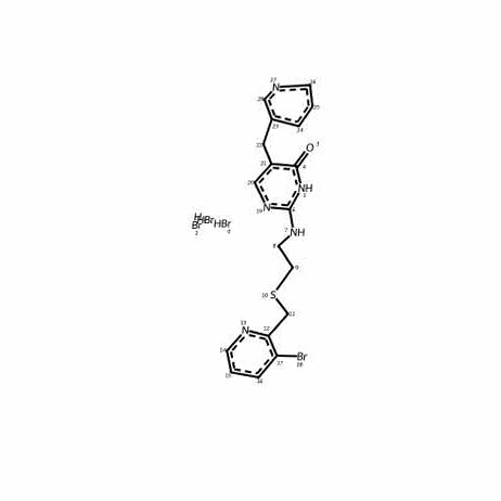 Br.Br.Br.O=c1[nH]c(NCCSCc2ncccc2Br)ncc1Cc1cccnc1